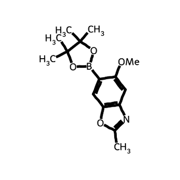 COc1cc2nc(C)oc2cc1B1OC(C)(C)C(C)(C)O1